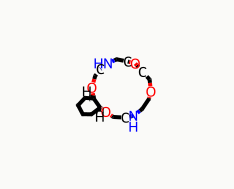 C1CC[C@H]2OCCNCCOCCOCCNCCO[C@@H]2C1